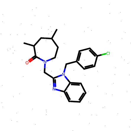 CC1CCN(Cc2nc3ccccc3n2Cc2ccc(Cl)cc2)C(=O)C(C)C1